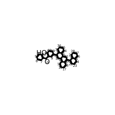 O=C(c1ccccc1)c1cc(-c2cc3c4ccccc4c(-c4cccc5ccccc45)cc3c3ccccc23)ccc1O